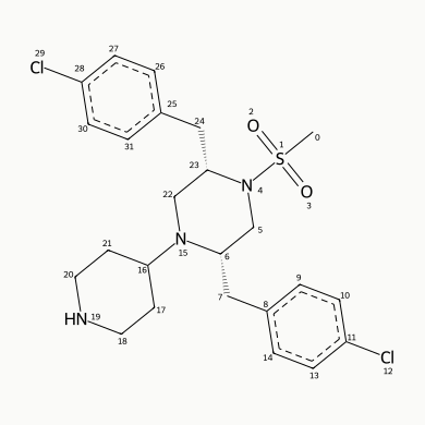 CS(=O)(=O)N1C[C@H](Cc2ccc(Cl)cc2)N(C2CCNCC2)C[C@@H]1Cc1ccc(Cl)cc1